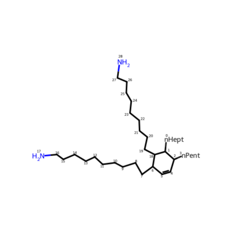 CCCCCCCC1C(CCCCC)C=CC(CCCCCCCCCCN)C1CCCCCCCCCN